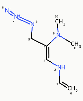 C=CN/C=C(/CN=[N+]=[N-])N(C)C